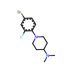 CN(C)C1CCN(c2ccc(Br)cc2F)CC1